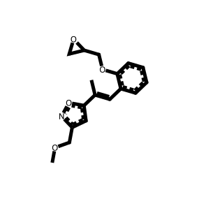 COCc1cc(/C(C)=C/c2ccccc2OCC2CO2)on1